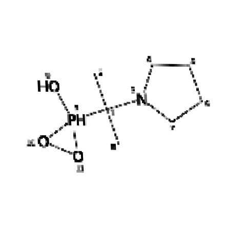 CC(C)(N1CCCC1)[PH]1(O)OO1